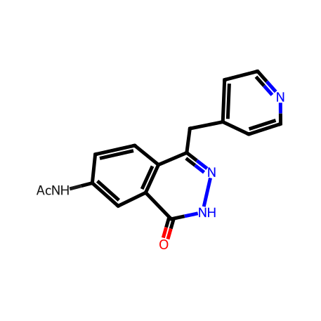 CC(=O)Nc1ccc2c(Cc3ccncc3)n[nH]c(=O)c2c1